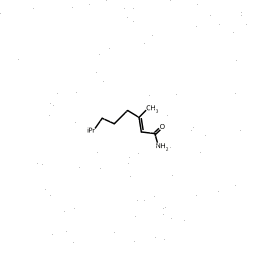 CC(=CC(N)=O)CCCC(C)C